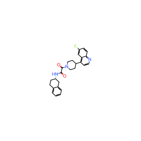 O=C(N[C@H]1CCc2ccccc2C1)C(=O)N1CCC(c2ccnc3ccc(F)cc23)CC1